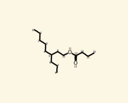 CCCCCC(CCC)CCOC(=O)CCC